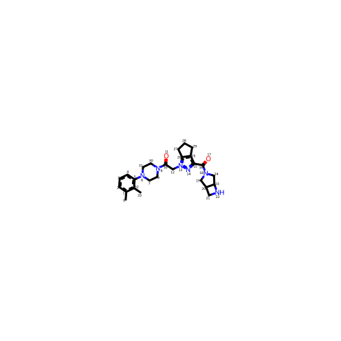 Cc1cccc(N2CCN(C(=O)Cn3nc(C(=O)N4CC5CNC5C4)c4c3CCC4)CC2)c1C